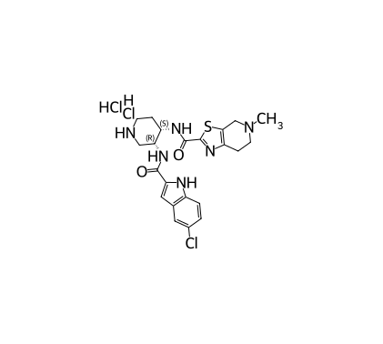 CN1CCc2nc(C(=O)N[C@H]3CCNC[C@H]3NC(=O)c3cc4cc(Cl)ccc4[nH]3)sc2C1.Cl.Cl